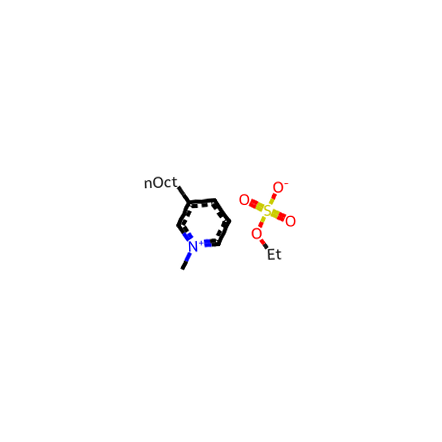 CCCCCCCCc1ccc[n+](C)c1.CCOS(=O)(=O)[O-]